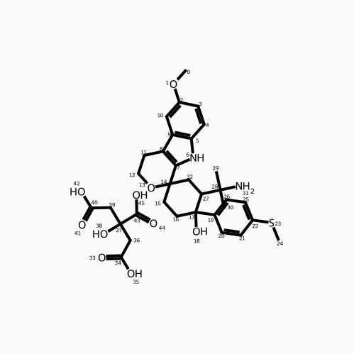 COc1ccc2[nH]c3c(c2c1)CCOC31CCC(O)(c2ccc(SC)cc2)C(C(C)(C)N)C1.O=C(O)CC(O)(CC(=O)O)C(=O)O